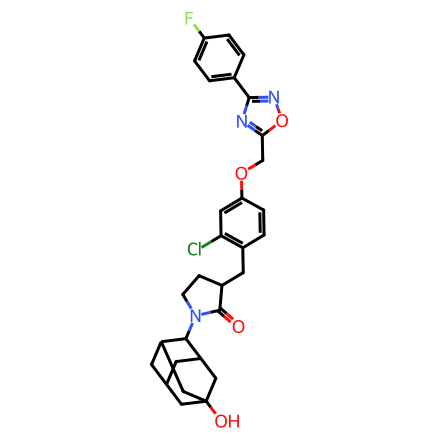 O=C1C(Cc2ccc(OCc3nc(-c4ccc(F)cc4)no3)cc2Cl)CCN1C1C2CC3CC1CC(O)(C3)C2